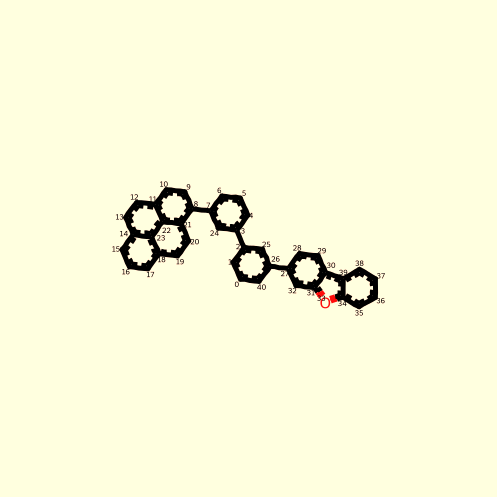 c1cc(-c2cccc(-c3ccc4ccc5cccc6ccc3c4c56)c2)cc(-c2ccc3c(c2)oc2ccccc23)c1